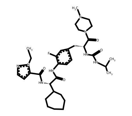 CCn1nccc1C(=O)N[C@H](C(=O)Nc1ccc(C[C@@H](NC(=O)NC(C)C)C(=O)N2CCN(C)CC2)cc1F)C1CCCCCC1